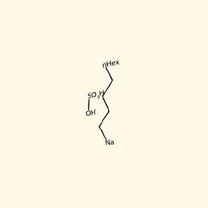 CCCCCCCCC[CH2][Na].O=S(=O)(O)O